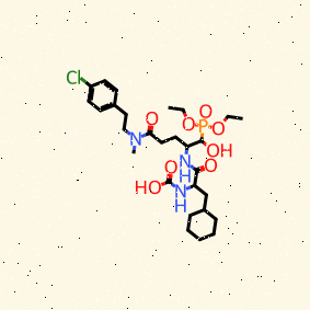 CCOP(=O)(OCC)C(O)C(CCC(=O)N(C)CCc1ccc(Cl)cc1)NC(=O)C(CC1CCCCC1)NC(=O)O